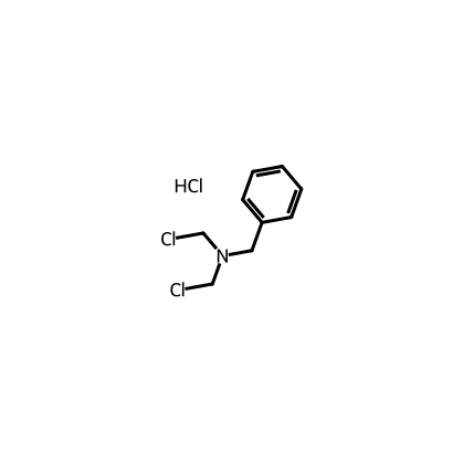 Cl.ClCN(CCl)Cc1ccccc1